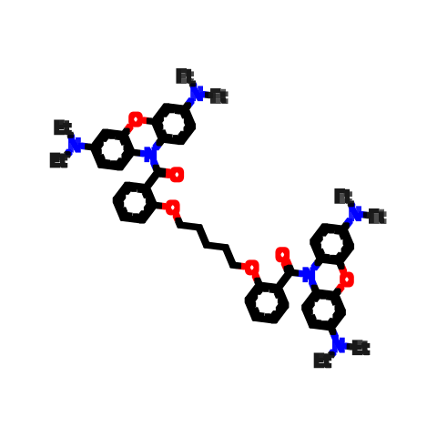 CCN(CC)c1ccc2c(c1)Oc1cc(N(CC)CC)ccc1N2C(=O)c1ccccc1OCCCCCOc1ccccc1C(=O)N1c2ccc(N(CC)CC)cc2Oc2cc(N(CC)CC)ccc21